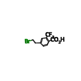 O=C(O)c1ccc(CCBr)cc1C(F)(F)F